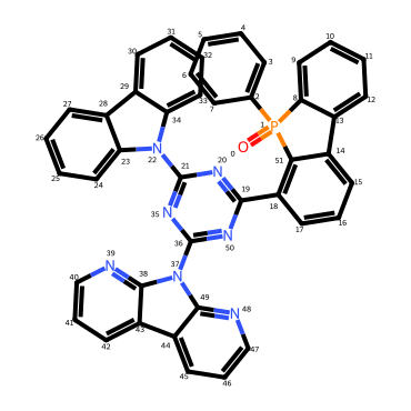 O=P1(c2ccccc2)c2ccccc2-c2cccc(-c3nc(-n4c5ccccc5c5ccccc54)nc(-n4c5ncccc5c5cccnc54)n3)c21